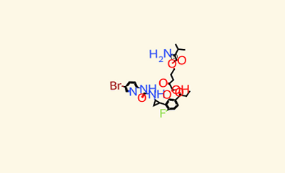 CCC(=O)c1ccc(F)c(C2CC2NC(=O)Nc2ccc(Br)cn2)c1OC(O)C(=O)CCCOC(=O)[C@@H](N)C(C)C